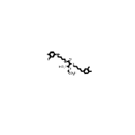 Cc1ccc(CCCCCOC(C(=O)NCCCCNc2ccc(C)c(Cl)c2)C(OCC(=O)O)C(=O)O)cc1C